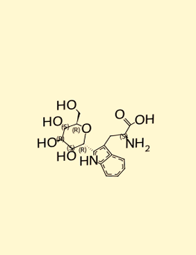 N[C@@H](Cc1c([C@H]2O[C@H](CO)[C@@H](O)[C@H](O)[C@@H]2O)[nH]c2ccccc12)C(=O)O